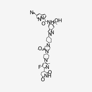 COC[C@H]1CN(C2CCC(n3cc4cc(NC(=O)c5ccc6cc(C#N)cnn56)c(C(C)(C)O)cc4n3)CC2)CCN1C1CCN(c2cc(F)c(C3CCC(=O)NC3=O)nc2C)CC1